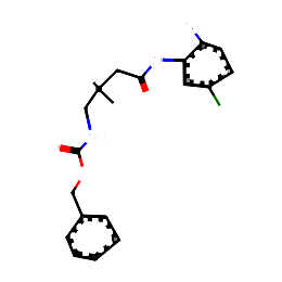 CC(C)(CNC(=O)OCc1ccccc1)CC(=O)Nc1cc(F)ccc1N